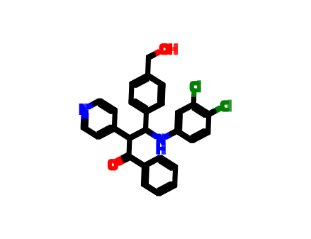 O=C(c1ccccc1)C(c1ccncc1)C(Nc1ccc(Cl)c(Cl)c1)c1ccc(CO)cc1